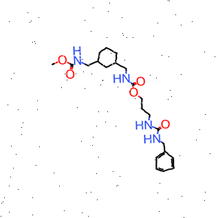 COC(=O)NCC1CCCC(CNC(=O)OCCCNC(=O)NCc2ccccc2)C1